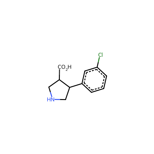 O=C(O)C1CNCC1c1cccc(Cl)c1